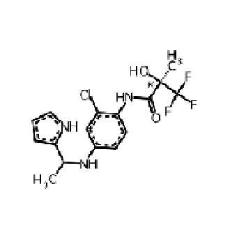 CC(Nc1ccc(NC(=O)[C@@](C)(O)C(F)(F)F)c(Cl)c1)c1ccc[nH]1